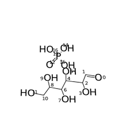 O=CC(O)C(O)C(O)C(O)CO.O=P(O)(O)O